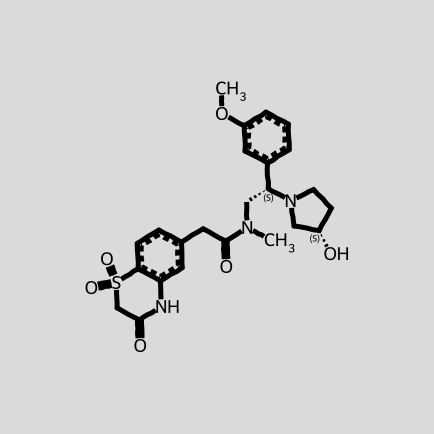 COc1cccc([C@@H](CN(C)C(=O)Cc2ccc3c(c2)NC(=O)CS3(=O)=O)N2CC[C@H](O)C2)c1